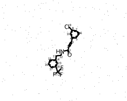 O=C(C#Cc1cccc(Cl)c1)NCCc1cccc(C(F)(F)F)c1